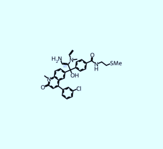 C=CN(C)/C(=C\N)C(O)(c1ccc(C(=O)NCCSC)cc1)c1ccc2c(c1)c(-c1cccc(Cl)c1)cc(=O)n2C